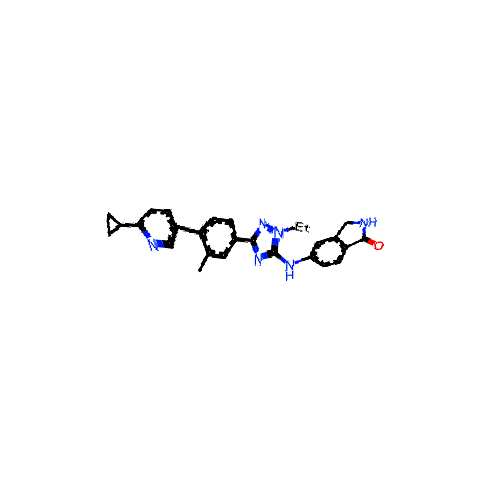 CCn1nc(-c2ccc(-c3ccc(C4CC4)nc3)c(C)c2)nc1Nc1ccc2c(c1)CNC2=O